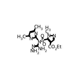 CCOC(=O)c1cnn(C)c1S(=O)(=O)N(C(N)=NN)c1nc(C)cc(C)n1